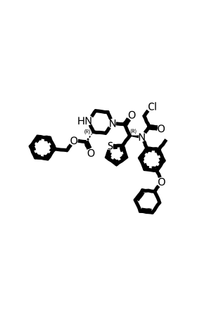 Cc1cc(OC2C=CC=CC2)ccc1N(C(=O)CCl)[C@H](C(=O)N1CCN[C@@H](C(=O)OCc2ccccc2)C1)c1cccs1